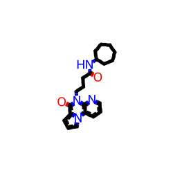 O=C(CCCn1c(=O)c2cccn2c2cccnc21)NC1CCCCCC1